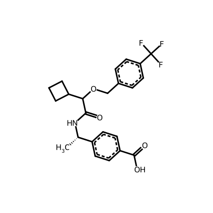 C[C@H](NC(=O)C(OCc1ccc(C(F)(F)F)cc1)C1CCC1)c1ccc(C(=O)O)cc1